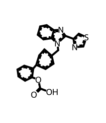 O=C(O)Oc1ccccc1-c1ccc(Cn2c(-c3cscn3)nc3ccccc32)cc1